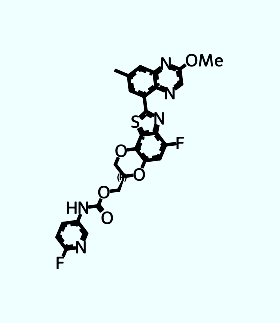 COc1cnc2c(-c3nc4c(F)cc5c(c4s3)OC[C@H](COC(=O)Nc3ccc(F)nc3)O5)cc(C)cc2n1